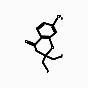 O=C1CC(CF)(CF)Oc2cc(C(F)(F)F)ccc21